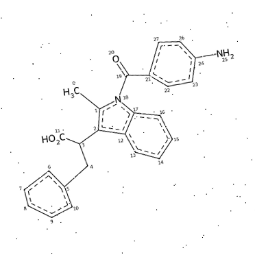 Cc1c(C(Cc2ccccc2)C(=O)O)c2ccccc2n1C(=O)c1ccc(N)cc1